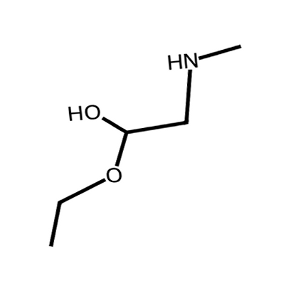 CCOC(O)CNC